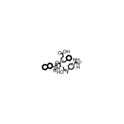 CN(C(=O)C[C@H](NS(=O)(=O)c1ccc2ccccc2c1)C(=O)N(CCC(=O)O)Cc1ccccc1)C1CCN(C(=N)N)CC1